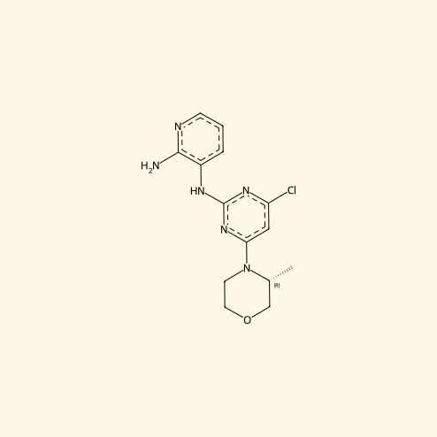 C[C@@H]1COCCN1c1cc(Cl)nc(Nc2cccnc2N)n1